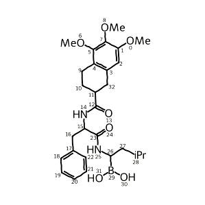 COc1cc2c(c(OC)c1OC)CCC(C(=O)NC(Cc1ccccc1)C(=O)NC(CC(C)C)B(O)O)C2